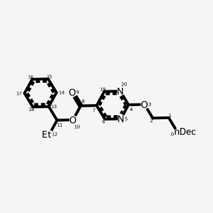 CCCCCCCCCCCCOc1ncc(C(=O)OC(CC)c2ccccc2)cn1